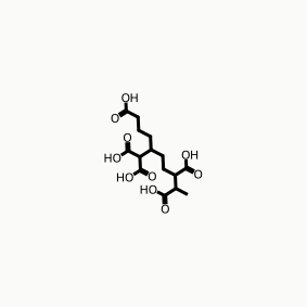 CC(C(=O)O)C(CCC(CCCC(=O)O)C(C(=O)O)C(=O)O)C(=O)O